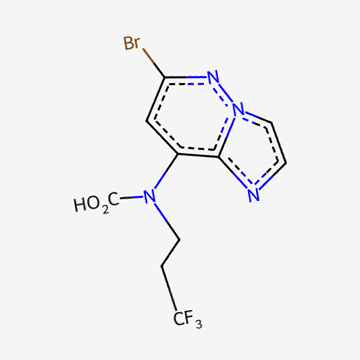 O=C(O)N(CCC(F)(F)F)c1cc(Br)nn2ccnc12